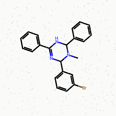 CN1C(c2cccc(Br)c2)N=C(c2ccccc2)NC1c1ccccc1